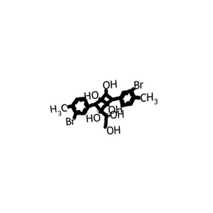 Cc1ccc(C2C(O)[C@@]3(O)C(c4ccc(C)c(Br)c4)[C@@](O)([C@H](O)CO)[C@@]23O)cc1Br